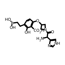 NC(C(=O)N1CC(Oc2ccc(CCB(O)O)c(O)c2C(=O)O)C1)c1c[nH]cn1